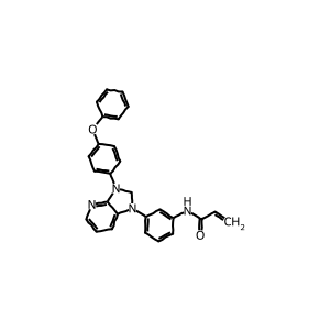 C=CC(=O)Nc1cccc(N2CN(c3ccc(Oc4ccccc4)cc3)c3ncccc32)c1